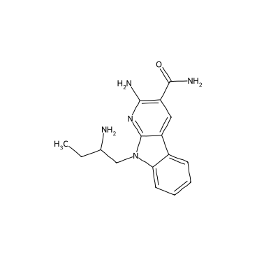 CCC(N)Cn1c2ccccc2c2cc(C(N)=O)c(N)nc21